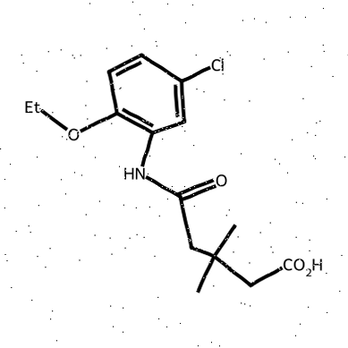 CCOc1ccc(Cl)cc1NC(=O)CC(C)(C)CC(=O)O